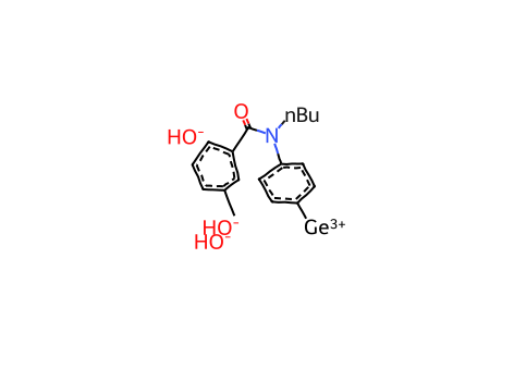 CCCCN(C(=O)c1cccc(C)c1)c1cc[c]([Ge+3])cc1.[OH-].[OH-].[OH-]